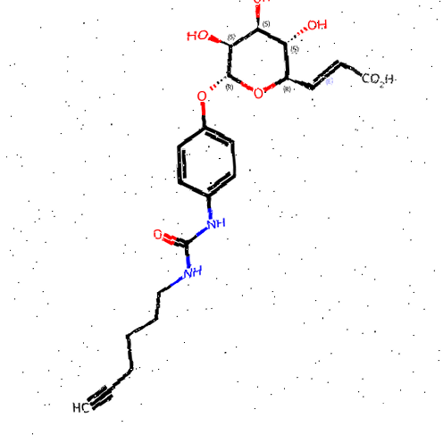 C#CCCCCNC(=O)Nc1ccc(O[C@H]2O[C@H](/C=C/C(=O)O)[C@@H](O)[C@H](O)[C@@H]2O)cc1